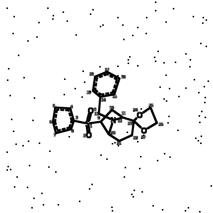 O=S(=O)(c1ccccc1)C1CC2N(Cc3ccccc3)C1CCC21OCCO1